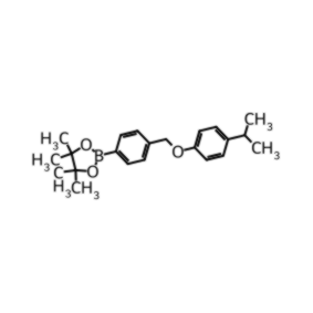 CC(C)c1ccc(OCc2ccc(B3OC(C)(C)C(C)(C)O3)cc2)cc1